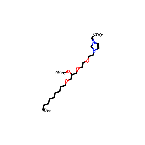 CCCCCCCCCCCCCCCCCCOCC(COCCOCCN1C=C[N+](=CC(=O)[O-])C1)OCCCCCC